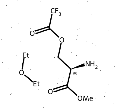 CCOCC.COC(=O)[C@H](N)COC(=O)C(F)(F)F